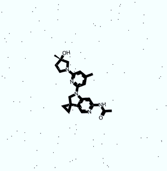 CC(=O)Nc1cc2c(cn1)C1(CC1)CN2c1cc(C)cc(N2CC[C@](C)(O)C2)n1